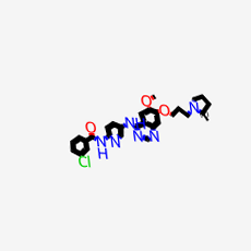 COc1cc2c(Nc3ccc(NC(=O)c4cccc(Cl)c4)nc3)ncnc2cc1OCCCN1CCC[C@H]1C